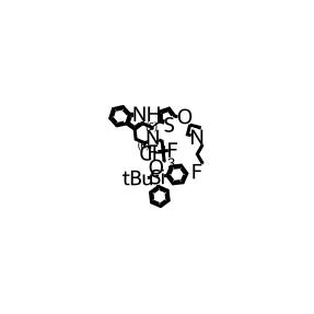 C[C@@H]1Cc2c([nH]c3ccccc23)[C@@H](c2ccc(OC3CN(CCCF)C3)s2)N1CC(F)(F)CO[Si](c1ccccc1)(c1ccccc1)C(C)(C)C